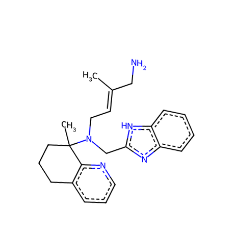 C/C(=C\CN(Cc1nc2ccccc2[nH]1)C1(C)CCCc2cccnc21)CN